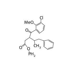 COc1c(Cl)cccc1C(=O)C(CC(=O)OP)C(C)Cc1ccccc1